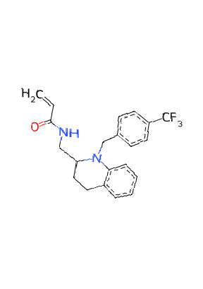 C=CC(=O)NCC1CCc2ccccc2N1Cc1ccc(C(F)(F)F)cc1